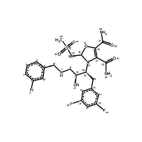 CCc1cccc(CNC[C@H](O)[C@H](Cc2cc(F)cc(F)c2)N2C(C(N)=O)=C(C(N)=O)OC2NS(C)(=O)=O)c1